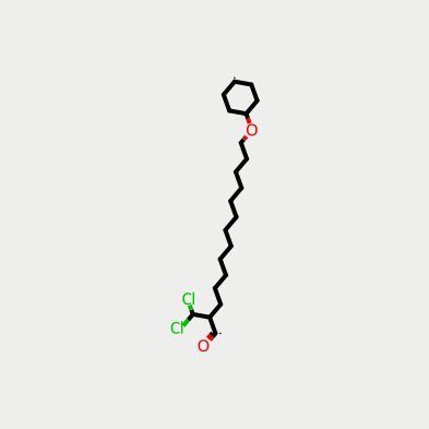 O=[C]C(CCCCCCCCCCCCOC1CC[CH]CC1)C(Cl)Cl